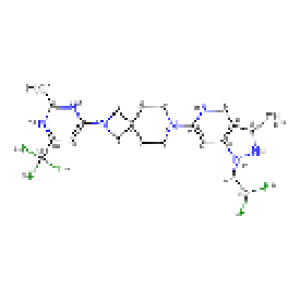 Cc1nc(N2CC3(CCN(c4cc5c(cn4)c(C)nn5CC(F)F)CC3)C2)cc(C(F)(F)F)n1